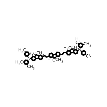 Cc1ccc(N(c2cc(C)cc(C)c2)c2ccc3c(c2)C(C)(C)c2cc(/C=C/c4ccc5c(c4)C(C)(C)c4cc(/C=C/c6ccc7c(c6)C(C)(C)c6cc(N(c8ccc(C#N)cc8)c8cc(C)cc(C)c8)ccc6-7)ccc4-5)ccc2-3)cc1